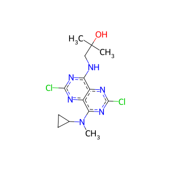 CN(c1nc(Cl)nc2c(NCC(C)(C)O)nc(Cl)nc12)C1CC1